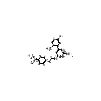 Cc1ccc(F)cc1C1=CC(NCCc2ccc([S@+](N)[O-])cc2)NC(N)=N1